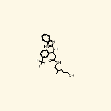 CC(CCCO)CNC(=O)CC(Nc1nc2ccccc2[nH]1)c1cccc(C(F)(F)F)c1